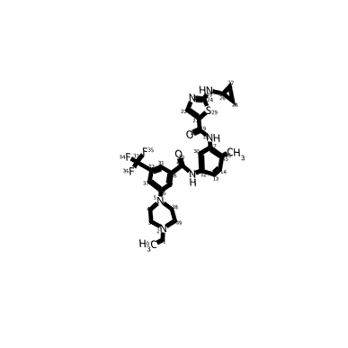 CCN1CCN(c2cc(C(=O)Nc3ccc(C)c(NC(=O)c4cnc(NC5CC5)s4)c3)cc(C(F)(F)F)c2)CC1